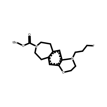 CC(C)(C)OC(=O)N1CCc2cc3c(cc2CC1)N(CCCF)CCO3